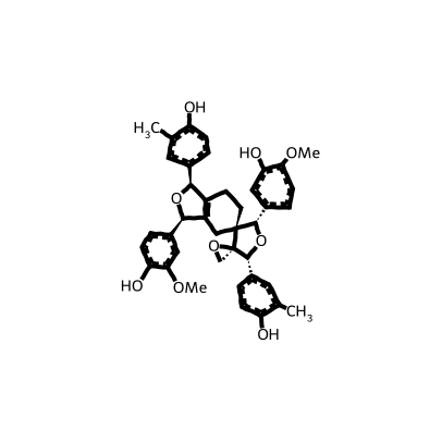 COc1ccc([C@@H]2O[C@H](c3ccc(O)c(C)c3)[C@]3(CO3)[C@@]23CCC2=C(C3)[C@@H](c3ccc(O)c(OC)c3)O[C@H]2c2ccc(O)c(C)c2)cc1O